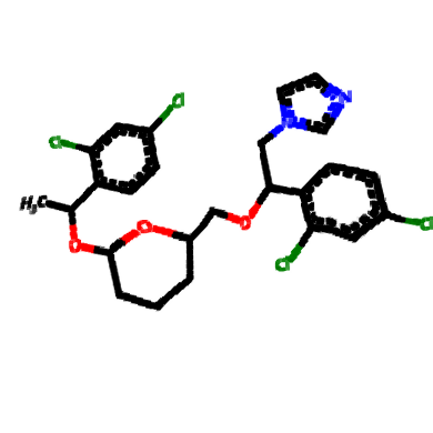 CC(OC1CCCC(COC(Cn2ccnc2)c2ccc(Cl)cc2Cl)O1)c1ccc(Cl)cc1Cl